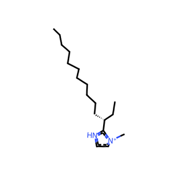 CCCCCCCCCCC[C@H](CC)c1[nH]cc[n+]1C